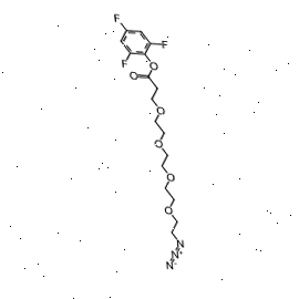 [N-]=[N+]=NCCOCCOCCOCCOCCC(=O)Oc1c(F)cc(F)cc1F